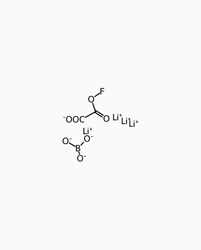 O=C([O-])C(=O)OF.[Li+].[Li+].[Li+].[Li+].[O-]B([O-])[O-]